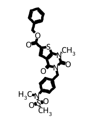 CN(c1ccc(Cn2c(=O)c3cc(C(=O)OCc4ccccc4)sc3n(C)c2=O)cc1)S(C)(=O)=O